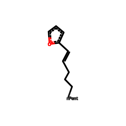 CCCCCCCCC=Cc1ccco1